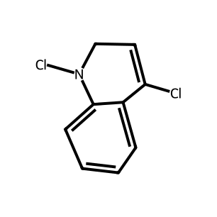 ClC1=CCN(Cl)c2ccccc21